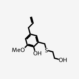 C=CCc1cc(CSCCO)c(O)c(OC)c1